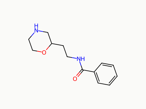 O=C(NCCC1CNCCO1)c1ccccc1